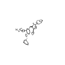 COc1cc(C=C2SC(N3CCOCC3)=NC2=O)ccc1OCc1ccccc1